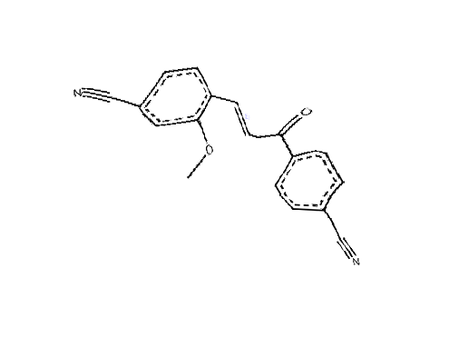 COc1cc(C#N)ccc1/C=C/C(=O)c1ccc(C#N)cc1